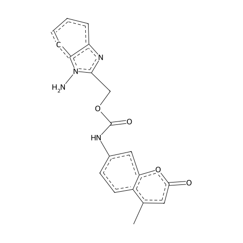 Cc1cc(=O)oc2cc(NC(=O)OCc3nc4ccccc4n3N)ccc12